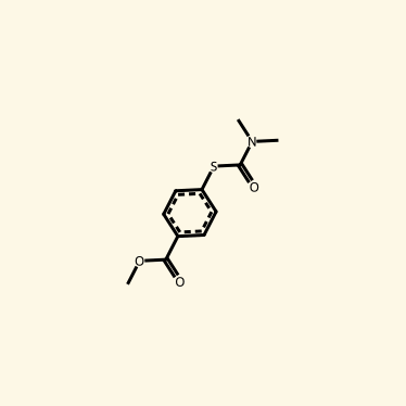 COC(=O)c1ccc(SC(=O)N(C)C)cc1